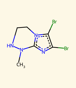 CN1NCCn2c1nc(Br)c2Br